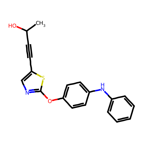 CC(O)C#Cc1cnc(Oc2ccc(Nc3ccccc3)cc2)s1